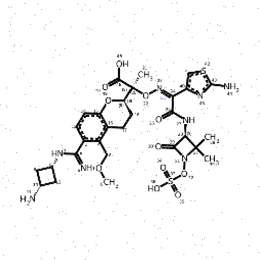 COCc1c(C(=N)N[C@H]2C[C@@H](N)C2)ccc2c1CC[C@H]([C@](C)(O/N=C(\C(=O)N[C@@H]1C(=O)N(OS(=O)(=O)O)C1(C)C)c1csc(N)n1)C(=O)O)O2